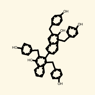 Oc1ccc(Cc2cc3cc(-c4c(Cc5ccc(O)cc5)c(O)c5ccccc5c4Cc4ccc(O)cc4)ccc3c(Cc3ccc(O)cc3)c2O)cc1